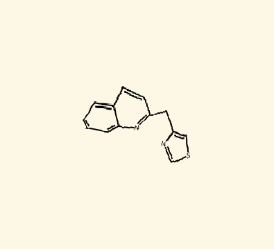 [c]1ccc2ccc(Cc3cscn3)nc2c1